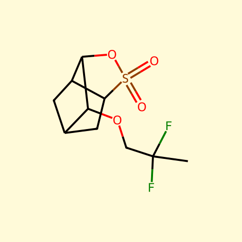 CC(F)(F)COC1C2CC3C1OS(=O)(=O)C3C2